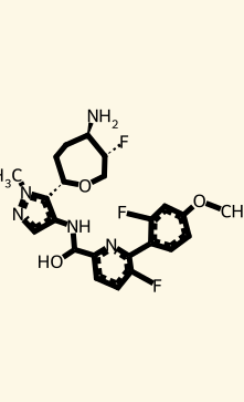 COc1ccc(-c2nc(C(O)Nc3cnn(C)c3[C@@H]3CC[C@@H](N)[C@H](F)CO3)ccc2F)c(F)c1